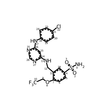 NS(=O)(=O)c1ccc(OCC(F)(F)F)c(CNc2cc(Nc3ccc(Cl)cc3)ncn2)c1